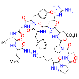 CSCC[C@H](NC(=O)[C@H](CC(C)C)NC(=O)CNC(=O)[C@H](Cc1ccc(O)cc1)NC(=O)[C@H](Cc1ccccc1)NC(=O)[C@H](CCCN=C(N)N)NC(=O)[C@H](CC(=O)O)NC(=O)[C@@H]1CCCN1C(=O)[C@H](CO)NC(=O)[C@@H]1CCCN1C(=O)[C@@H](N)CCCCN)C(N)=O